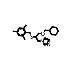 Cc1cc(C)c(CSC(COCC2CCCCC2)Cn2ccnc2)c(C)c1